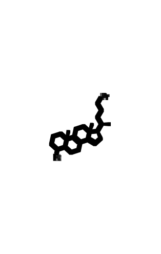 CCC1CCC[C@]2(C)C3=C(CCC12)C1=CC[C@H]([C@H](C)CCCC(C)C)[C@@]1(C)CC3